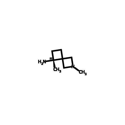 CN1CC2(CC[C@@]2(C)N)C1